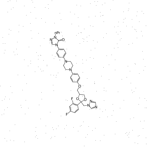 CCCn1ncn(-c2ccc(N3CCN(c4ccc(OCC5COC(Cn6cncn6)(c6ccc(F)cc6F)O5)cc4)CC3)cc2)c1=O